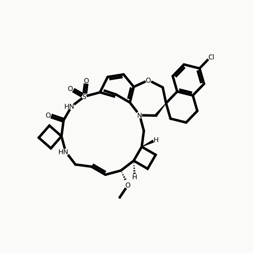 CO[C@@H]1/C=C/CNC2(CCC2)C(=O)NS(=O)(=O)c2ccc3c(c2)N(C[C@@H]2CC[C@H]21)C[C@@]1(CCCc2cc(Cl)ccc21)CO3